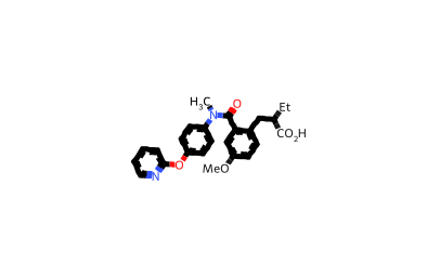 CCC(Cc1ccc(OC)cc1C(=O)N(C)c1ccc(Oc2ccccn2)cc1)C(=O)O